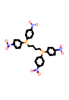 O=[N+]([O-])c1ccc(P(CCCCP(c2ccc([N+](=O)[O-])cc2)c2ccc([N+](=O)[O-])cc2)c2ccc([N+](=O)[O-])cc2)cc1